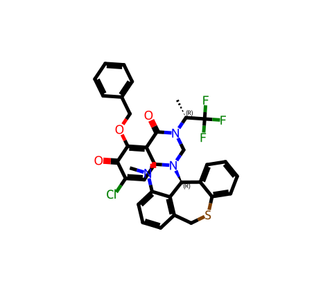 C[C@@H](N1CN([C@H]2c3ccccc3SCc3cccc(N(C)C)c32)C2C=C(Cl)C(=O)C(OCc3ccccc3)=C2C1=O)C(F)(F)F